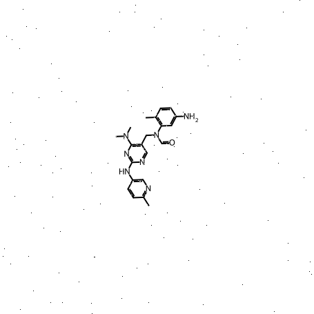 Cc1ccc(Nc2ncc(CN(C=O)c3cc(N)ccc3C)c(N(C)C)n2)cn1